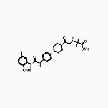 COC(=O)C(C)(C)NCC(=O)[C@H]1CC[C@H](c2ccc(NC(=O)Nc3cc(C)ccc3OC)cc2)CC1